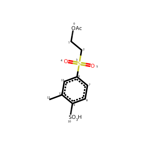 CC(=O)OCCS(=O)(=O)c1ccc(S(=O)(=O)O)c(C)c1